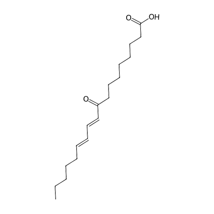 CCCCCC=CC=CC(=O)CCCCCCCC(=O)O